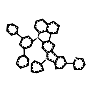 c1ccc(-c2cc(-c3ccccc3)cc(N3c4cc5c(cc4-c4cccc6cccc3c46)c3cc(-c4ccccn4)ccc3n5-c3ccccc3)c2)cc1